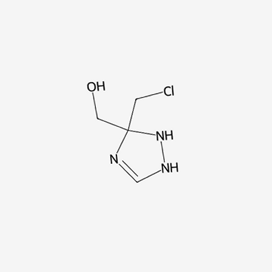 OCC1(CCl)N=CNN1